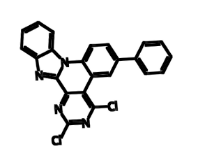 Clc1nc(Cl)c2c3cc(-c4ccccc4)ccc3n3c4ccccc4nc3c2n1